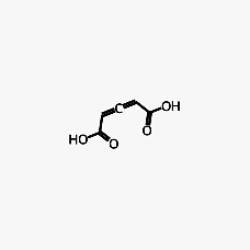 O=C(O)C=C=CC(=O)O